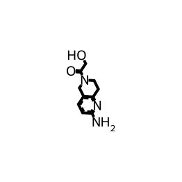 Nc1ccc2c(n1)CCN(C(=O)CO)C2